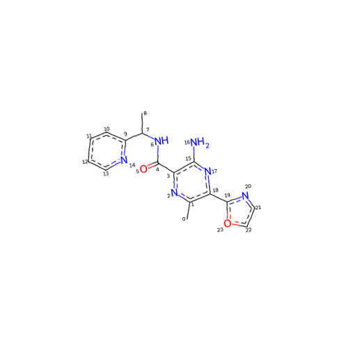 Cc1nc(C(=O)NC(C)c2ccccn2)c(N)nc1-c1ncco1